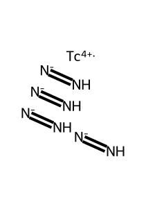 [N-]=N.[N-]=N.[N-]=N.[N-]=N.[Tc+4]